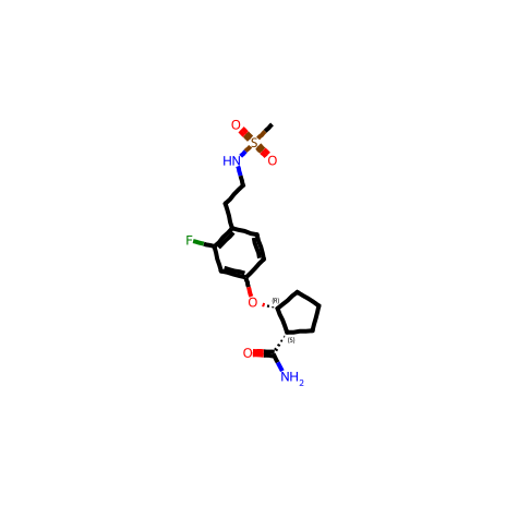 CS(=O)(=O)NCCc1ccc(O[C@@H]2CCC[C@@H]2C(N)=O)cc1F